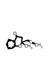 C=C=CC1(C)CC(=O)c2ccccc2O1